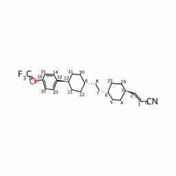 N#CC=C[C@H]1CC[C@H](CC[C@H]2CC[C@H](c3ccc(OC(F)(F)F)cc3)CC2)CC1